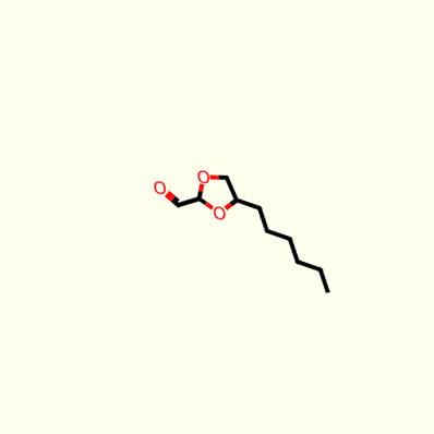 CCCCCCC1COC(C=O)O1